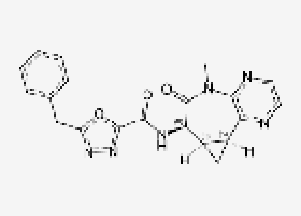 CN1C(=O)[C@H](NC(=O)c2nnc(Cc3ccccc3)o2)[C@@H]2C[C@@H]2c2nccnc21